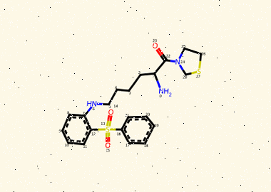 NC(CCCCNc1ccccc1S(=O)(=O)c1ccccc1)C(=O)N1CCSC1